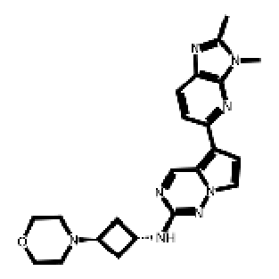 Cc1nc2ccc(-c3ccn4nc(N[C@H]5C[C@H](N6CCOCC6)C5)ncc34)nc2n1C